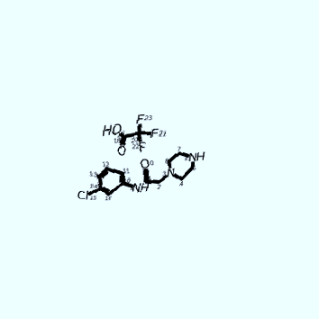 O=C(CN1CCNCC1)Nc1cccc(Cl)c1.O=C(O)C(F)(F)F